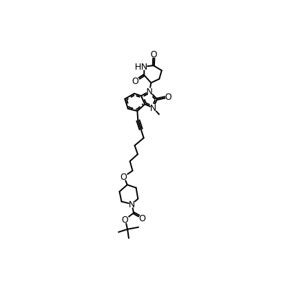 Cn1c(=O)n(C2CCC(=O)NC2=O)c2cccc(C#CCCCCCOC3CCN(C(=O)OC(C)(C)C)CC3)c21